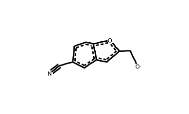 N#Cc1ccc2oc(C[O])cc2c1